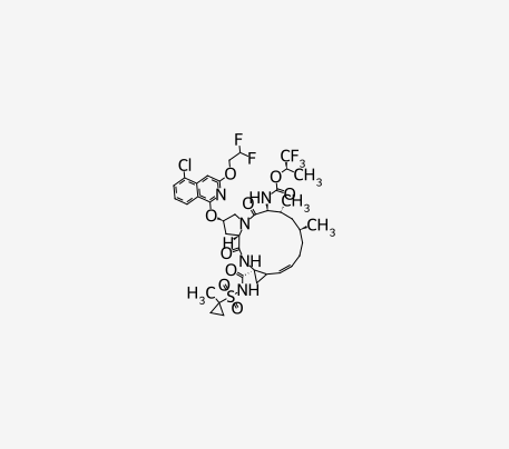 C[C@H]1CC/C=C\C2C[C@@]2(C(=O)NS(=O)(=O)C2(C)CC2)NC(=O)[C@@H]2C[C@@H](Oc3nc(OCC(F)F)cc4c(Cl)cccc34)CN2C(=O)[C@@H](NC(=O)O[C@H](C)C(F)(F)F)[C@H](C)C1